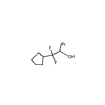 CC(C)C(O)C(F)(F)C1CCCC1